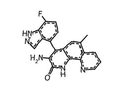 Cc1cc2c(-c3ccc(F)c4[nH]ncc34)c(N)c(=O)[nH]c2c2ncccc12